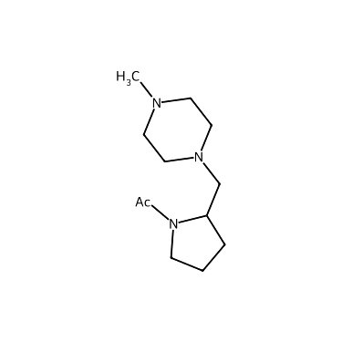 CC(=O)N1CCCC1CN1CCN(C)CC1